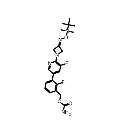 CC(C)(C)[Si](C)(C)ON=C1CN(c2ncc(-c3cccc(COC(N)=O)c3F)cc2F)C1